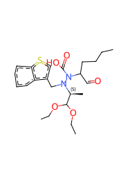 CCCCC(C=O)N(C(=O)O)N(Cc1csc2ccccc12)[C@@H](C)C(OCC)OCC